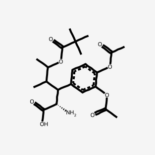 CC(=O)Oc1ccc(C(C(C)C(C)OC(=O)C(C)(C)C)[C@H](N)C(=O)O)cc1OC(C)=O